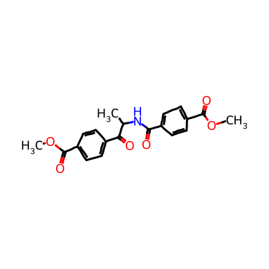 COC(=O)c1ccc(C(=O)NC(C)C(=O)c2ccc(C(=O)OC)cc2)cc1